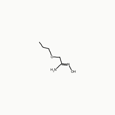 CCCOC/C(N)=N/O